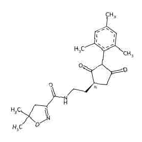 Cc1cc(C)c(C2C(=O)C[C@@H](CCNC(=O)C3=NOC(C)(C)C3)C2=O)c(C)c1